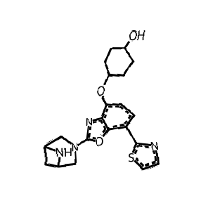 OC1CCC(Oc2ccc(-c3nccs3)c3oc(N4CC5CC(C4)N5)nc23)CC1